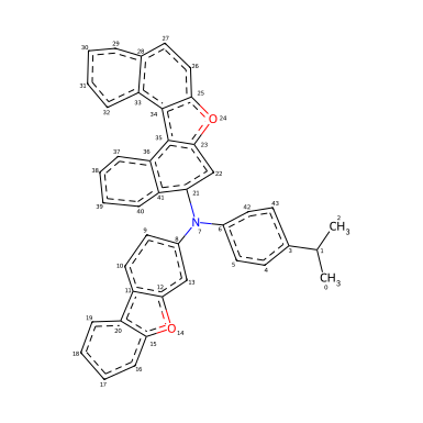 CC(C)c1ccc(N(c2ccc3c(c2)oc2ccccc23)c2cc3oc4ccc5ccccc5c4c3c3ccccc23)cc1